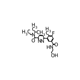 CCN(C(=O)c1ccc(-c2cc(C(=O)NCCO)cc(F)c2C)nn1)C(C)C